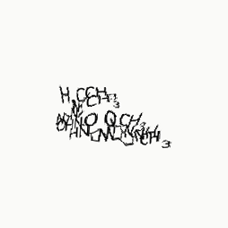 CNC1C=CC2=CN(N3CCC(NC(=O)Nc4cc(C(C)(C)C)nn4-c4cnoc4)C3)C(=O)C(C)C2=N1